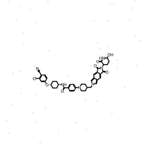 N#Cc1ccc(O[C@H]2CC[C@H](NC(=O)c3ccc(N4CCC(Cn5cc6cc7c(cc6c5)C(=O)N(C5CCC(O)NC5=O)C7=O)CC4)cc3)CC2)cc1Cl